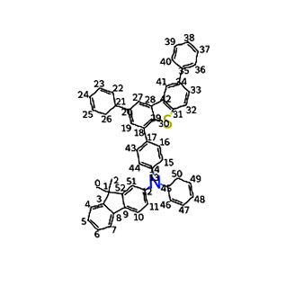 CC1(C)c2ccccc2-c2ccc(N(c3ccc(-c4cc(C5C=CC=CC5)cc5c4sc4ccc(-c6ccccc6)cc45)cc3)C3C=CC=CC3)cc21